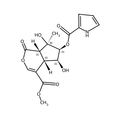 COC(=O)C1=COC(=O)[C@H]2[C@@H]1[C@H](O)[C@H](OC(=O)c1ccc[nH]1)[C@]2(C)O